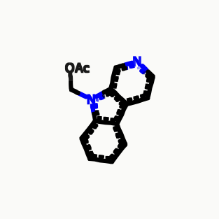 CC(=O)OCn1c2ccccc2c2ccncc21